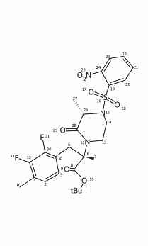 Cc1ccc(C[C@@](C)(C(=O)OC(C)(C)C)N2CCN(S(=O)(=O)c3ccccc3[N+](=O)[O-])[C@@H](C)C2=O)c(F)c1F